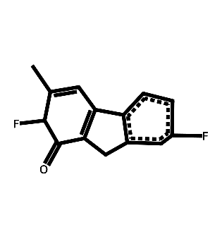 CC1=CC2=C(Cc3cc(F)ccc32)C(=O)C1F